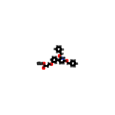 CC(C)(C)OC(=O)CCOc1cccc(-c2ccc(OCc3ccccc3)nc2OCc2ccccc2)c1